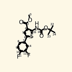 COC(=O)c1cc(-c2ccc(F)c(F)c2)sc1NC(=O)OC(C)(C)C